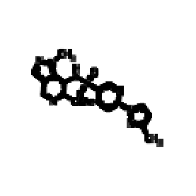 COc1ncc2cnn(C)c2c1NS(=O)(=O)c1ccc(-n2ccc(C)n2)nc1